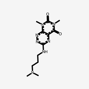 CN(C)CCCNc1nnc2c(n1)c(=O)n(C)c(=O)n2C